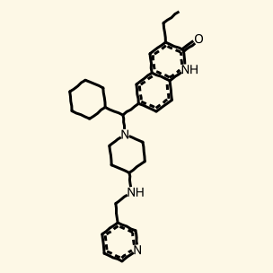 CCc1cc2cc(C(C3CCCCC3)N3CCC(NCc4cccnc4)CC3)ccc2[nH]c1=O